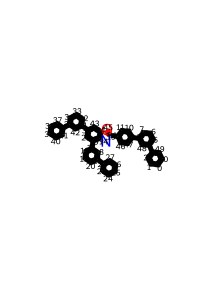 c1ccc(-c2cccc(-c3ccc(-c4nc5c(-c6cccc(-c7ccccc7)c6)cc(-c6cccc(-c7ccccc7)c6)cc5o4)cc3)c2)cc1